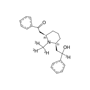 [2H]C(O)(C[C@@H]1CCC[C@H](CC(=O)c2ccccc2)N1C([2H])([2H])[2H])c1ccccc1